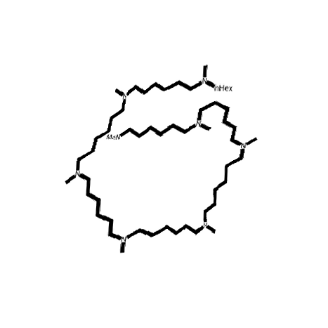 CCCCCCN(C)CCCCCCN(C)CCCCCCN(C)CCCCCCN(C)CCCCCCN(C)CCCCCCN(C)CCCCCCN(C)CCCCCCNC